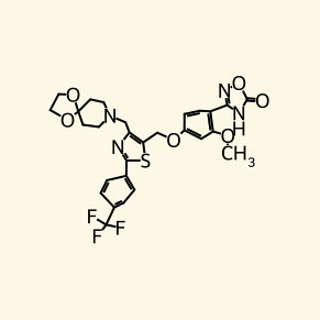 COc1cc(OCc2sc(-c3ccc(C(F)(F)F)cc3)nc2CN2CCC3(CC2)OCCO3)ccc1-c1noc(=O)[nH]1